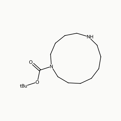 CC(C)(C)OC(=O)N1CCCCCCCNCCCC1